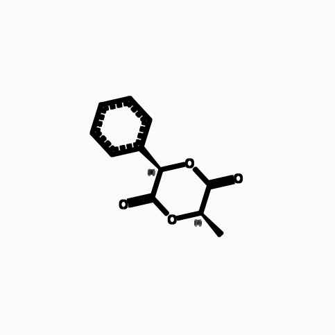 C[C@H]1OC(=O)[C@@H](c2ccccc2)OC1=O